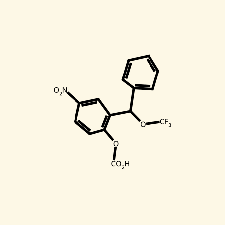 O=C(O)Oc1ccc([N+](=O)[O-])cc1C(OC(F)(F)F)c1ccccc1